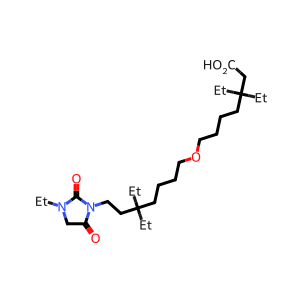 CCN1CC(=O)N(CCC(CC)(CC)CCCCOCCCCC(CC)(CC)CC(=O)O)C1=O